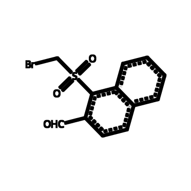 O=Cc1ccc2ccccc2c1S(=O)(=O)CBr